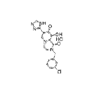 Cl.O=c1c(-c2nnc[nH]2)cn2ccn(Cc3cccc(Cl)c3)c(=O)c2c1O